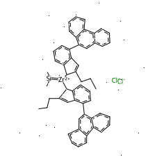 CCCC1=Cc2c(-c3cc4ccccc4c4ccccc34)cccc2[CH]1[Zr+2]([CH]1C(CCC)=Cc2c(-c3cc4ccccc4c4ccccc34)cccc21)=[Si](C)C.[Cl-].[Cl-]